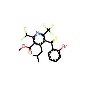 COC(=O)c1c(C(F)F)nc(C(F)(F)F)c(C(=S)c2ccccc2Br)c1CC(C)C